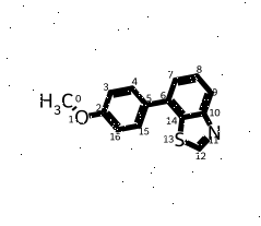 COc1ccc(-c2cccc3ncsc23)cc1